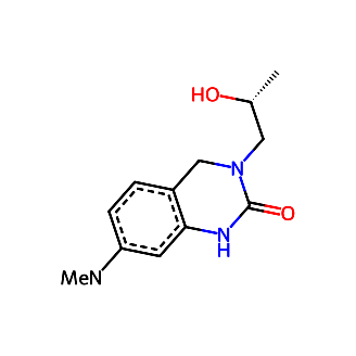 CNc1ccc2c(c1)NC(=O)N(C[C@@H](C)O)C2